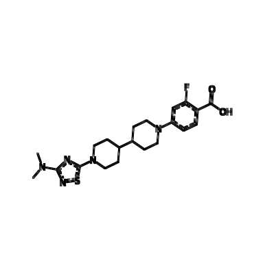 CN(C)c1nsc(N2CCC(C3CCN(c4ccc(C(=O)O)c(F)c4)CC3)CC2)n1